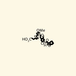 CO[C@H]1C[C@@H](c2ncc(CCC(=O)O)s2)N(C(=O)Cc2cc(Cl)c(NC(=O)c3coc4ccccc34)cc2F)C1